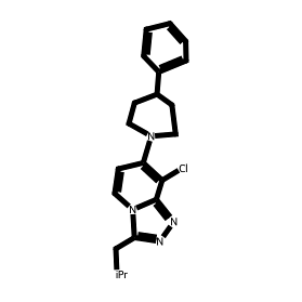 CC(C)Cc1nnc2c(Cl)c(N3CCC(c4ccccc4)CC3)ccn12